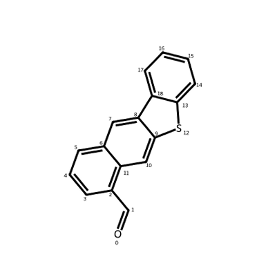 O=Cc1cccc2cc3c(cc12)sc1ccccc13